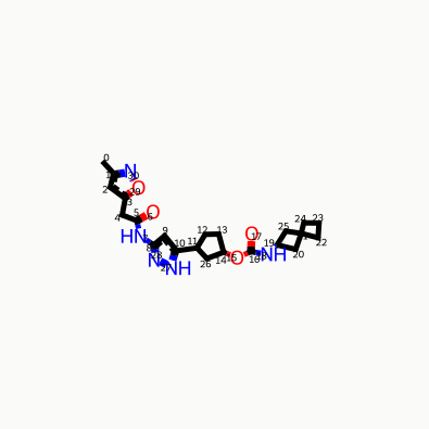 Cc1cc(CC(=O)Nc2cc(C3CCC(OC(=O)NC4CC5(CCC5)C4)C3)[nH]n2)on1